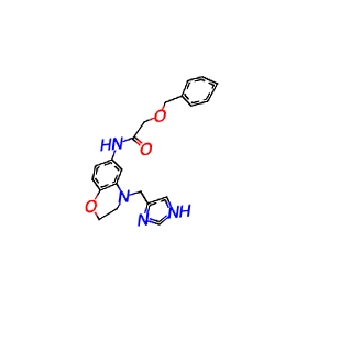 O=C(COCc1ccccc1)Nc1ccc2c(c1)N(Cc1c[nH]cn1)CCO2